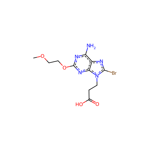 COCCOc1nc(N)c2nc(Br)n(CCC(=O)O)c2n1